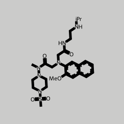 COc1cc2ccccc2cc1N(CC(=O)NCCNC(C)C)CC(=O)N(C)N1CCN(S(C)(=O)=O)CC1